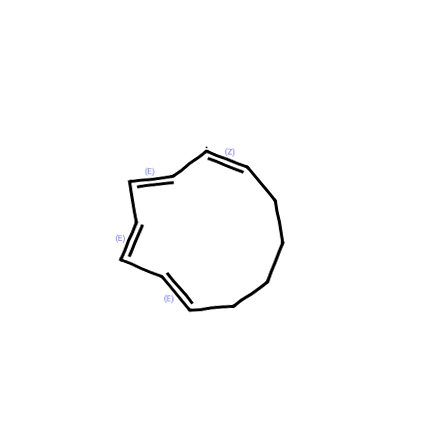 [C]1=C\CCCC/C=C/C=C/C=C/1